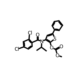 COC(=O)Oc1sc(-c2ccccc2)cc1N(C(=O)c1ccc(Cl)cc1Cl)C(C)C